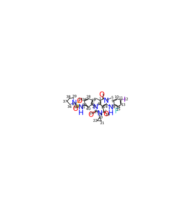 Cc1c(=O)n(C)c(Nc2ccc(I)cc2F)c2c(=O)n(C3CC3)c(=O)n(-c3cccc(NS(=O)(=O)N4CCCC4)c3)c12